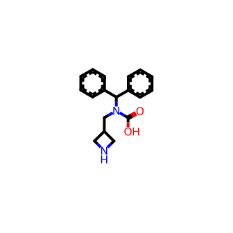 O=C(O)N(CC1CNC1)C(c1ccccc1)c1ccccc1